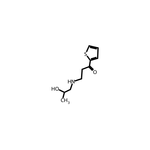 CC(O)CNCCC(=O)c1cccs1